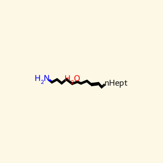 CCCCCCCCC=CCCCCCCCCN.O